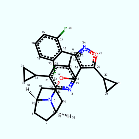 O=C(O)c1cnc(N2[C@@H]3CC[C@H]2C[C@H](OCc2c(-c4c(F)cccc4F)noc2C2CC2)C3)c(C2CC2)c1